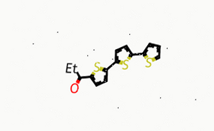 CCC(=O)c1ccc(-c2ccc(-c3cccs3)s2)s1